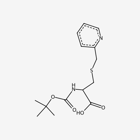 CC(C)(C)OC(=O)NC(CSCc1ccccn1)C(=O)O